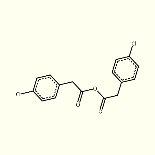 O=C(Cc1ccc(Cl)cc1)OC(=O)Cc1ccc(Cl)cc1